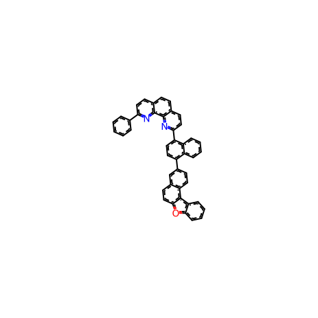 c1ccc(-c2ccc3ccc4ccc(-c5ccc(-c6ccc7c(ccc8oc9ccccc9c87)c6)c6ccccc56)nc4c3n2)cc1